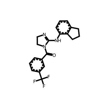 O=C(c1cccc(C(F)(F)F)c1)N1CCN=C1Nc1cccc2c1CCC2